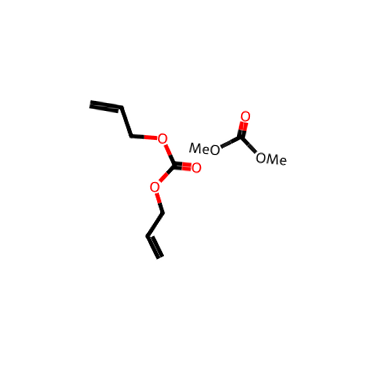 C=CCOC(=O)OCC=C.COC(=O)OC